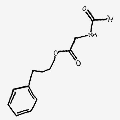 [3H]C(=O)NCC(=O)OCCc1ccccc1